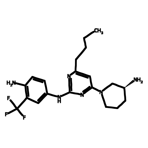 CCCCc1cc(N2CCC[C@@H](N)C2)nc(Nc2ccc(N)c(C(F)(F)F)c2)n1